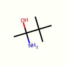 CC(C)(C)C(C)(N)O